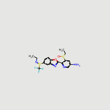 CC/N=S(\c1ccc2oc(-c3ncc(N)cc3[S+]([O-])CC)nc2c1)C(F)(F)F